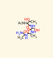 CC(=O)NC(C(=O)NC(CO)C(=O)NC(C)C(=O)NC(C)C(N)=O)C(C)O